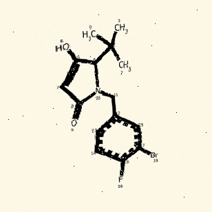 CC(C)(C)C1C(O)=CC(=O)N1Cc1ccc(F)c(Br)c1